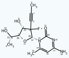 CC#CC1(F)[C@@H](O)[C@@H]([C@H](C)O)O[C@H]1n1c(C)cc(N)nc1=O